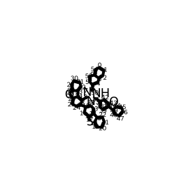 c1ccc2cc(C3=NC(c4c(-c5ccc6c(c5)sc5ccccc56)ccc5oc6ccccc6c45)=NC(c4ccc5c(c4)oc4ccccc45)N3)ccc2c1